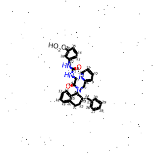 O=C(NCC(=O)N(Cc1ccccn1)[C@@H]1c2ccccc2CC[C@H]1Cc1ccccc1)Nc1cccc(C(=O)O)c1